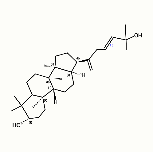 C=C(C/C=C/C(C)(C)O)[C@@H]1CC[C@@]2(C)[C@@H]1CC[C@@H]1[C@@]3(C)CC[C@H](O)C(C)(C)C3CC[C@]12C